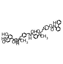 C[C@@H](Cc1ccc(CNC(O)c2cccc(N(C)C(=O)CCN3CCC(OC(=O)Nc4ccccc4-c4ccccc4)CC3)c2)cc1)NC[C@H](O)c1ccc(O)c2[nH]c(=O)ccc12